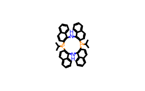 CC(C)P1c2ccc3ccccc3c2Nc2c(ccc3ccccc23)P(C(C)C)c2ccc3ccccc3c2Nc2c1ccc1ccccc21